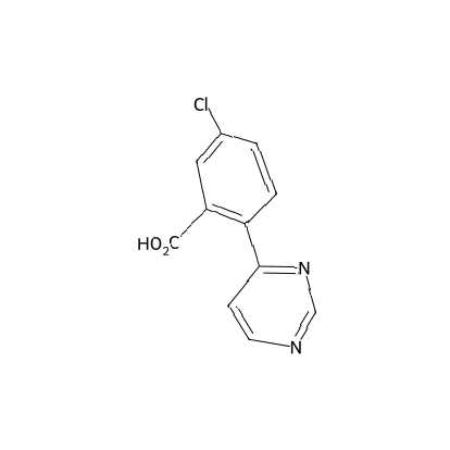 O=C(O)c1cc(Cl)ccc1-c1ccncn1